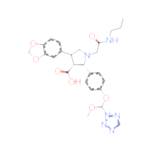 CCCNC(=O)CN1CC(c2ccc3c(c2)OCO3)[C@H](C(=O)O)[C@H]1c1ccc(OC(OC)n2ncnn2)cc1